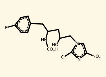 O=C(O)NC(Cc1ccc(F)cc1)CC(O)Cn1cc([N+](=O)[O-])nc1Cl